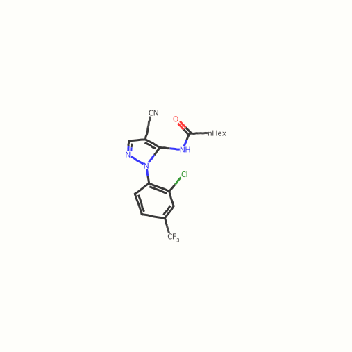 CCCCCCC(=O)Nc1c(C#N)cnn1-c1ccc(C(F)(F)F)cc1Cl